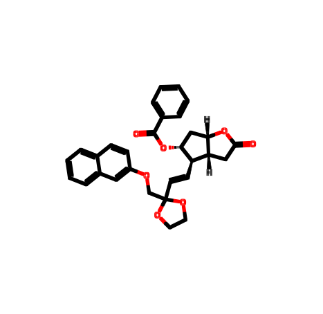 O=C1C[C@@H]2[C@@H](/C=C/C3(COc4ccc5ccccc5c4)OCCO3)[C@H](OC(=O)c3ccccc3)C[C@@H]2O1